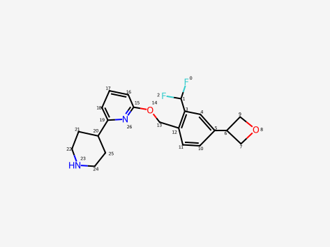 FC(F)c1cc(C2COC2)ccc1COc1cccc(C2CCNCC2)n1